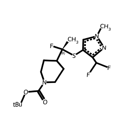 Cn1cc(S[C@@](C)(F)C2CCN(C(=O)OC(C)(C)C)CC2)c(C(F)F)n1